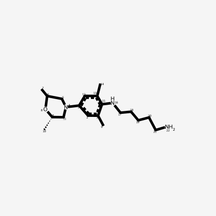 Cc1cc(N2CC(C)O[C@@H](C)C2)cc(C)c1NCCCCCN